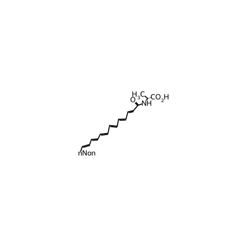 CCCCCCCCCC=CC=CC=CC=CC=CC=CC(=O)N[C@H](C)C(=O)O